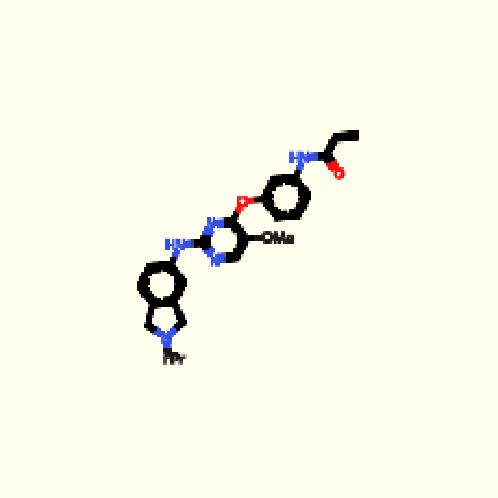 C=CC(=O)Nc1cccc(Oc2nc(Nc3ccc4c(c3)CN(CCC)C4)ncc2OC)c1